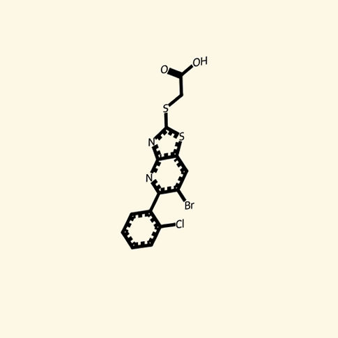 O=C(O)CSc1nc2nc(-c3ccccc3Cl)c(Br)cc2s1